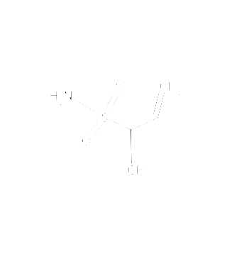 C=CC(C)S(N)(=O)=O